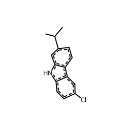 CC(C)c1ccc2c(c1)[nH]c1ccc(Cl)cc12